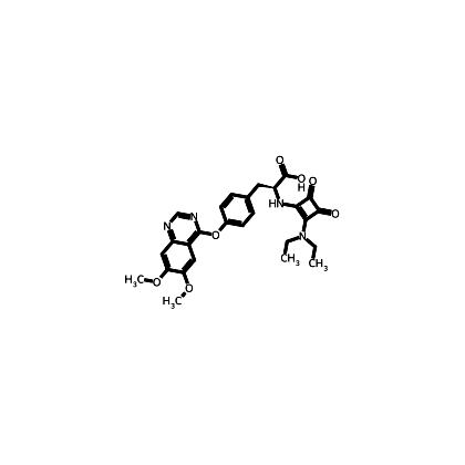 CCN(CC)c1c(N[C@@H](Cc2ccc(Oc3ncnc4cc(OC)c(OC)cc34)cc2)C(=O)O)c(=O)c1=O